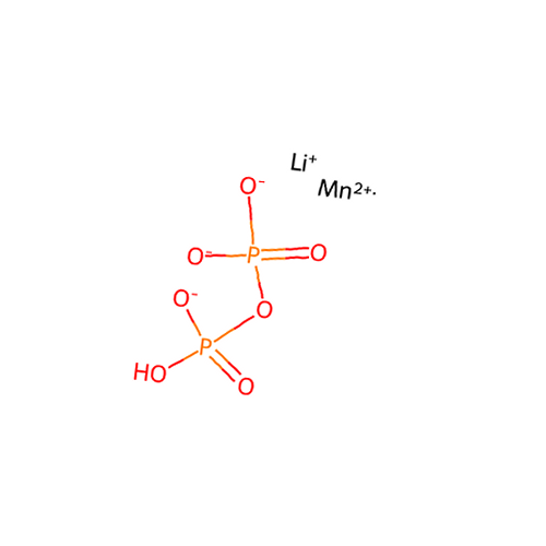 O=P([O-])([O-])OP(=O)([O-])O.[Li+].[Mn+2]